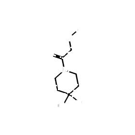 CCC1(C(C)C)CCN(C(=O)COC(C)(C)C)CC1